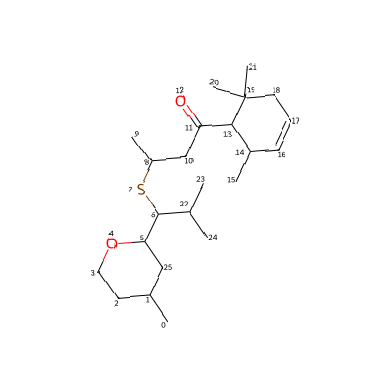 CC1CCOC(C(SC(C)CC(=O)C2C(C)C=CCC2(C)C)C(C)C)C1